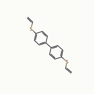 C=CSc1ccc(-c2ccc(SC=C)cc2)cc1